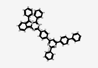 c1ccc(-c2ccc(-c3cc(-c4ccc(-c5nc(-c6ccccc6)n6c(-c7ccccc7)c7ccccc7c6n5)cc4)nc(-c4ccccc4)n3)cc2)cc1